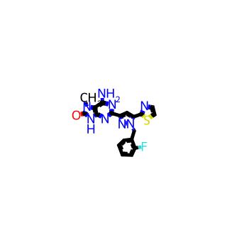 Cn1c(=O)[nH]c2nc(-c3cc(-c4nccs4)n(Cc4ccccc4F)n3)nc(N)c21